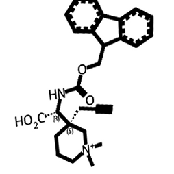 C#CC[C@@]1([C@@H](NC(=O)OCC2c3ccccc3-c3ccccc32)C(=O)O)CCC[N+](C)(C)C1